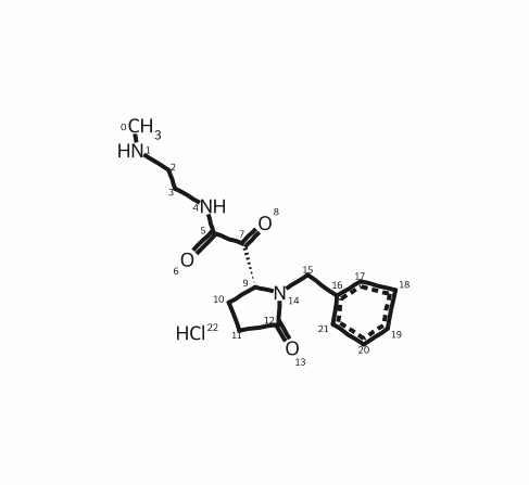 CNCCNC(=O)C(=O)[C@H]1CCC(=O)N1Cc1ccccc1.Cl